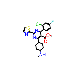 CNC1CCC(C2=C(C(=O)OC)C(c3ccc(F)cc3Cl)N=C(c3nccs3)N2)CC1